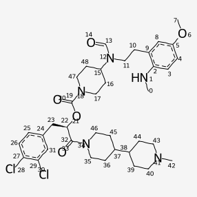 CNc1ccc(OC)cc1CCN(C=O)C1CCN(C(=O)O[C@H](Cc2ccc(Cl)c(Cl)c2)C(=O)N2CCC(C3CCN(C)CC3)CC2)CC1